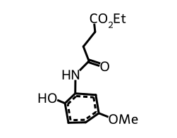 CCOC(=O)CCC(=O)Nc1cc(OC)ccc1O